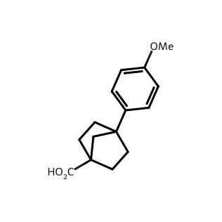 COc1ccc(C23CCC(C(=O)O)(CC2)C3)cc1